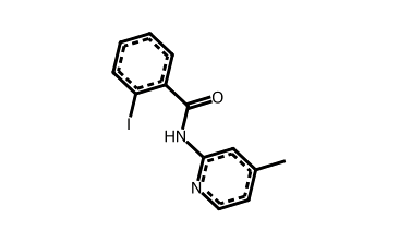 Cc1ccnc(NC(=O)c2ccccc2I)c1